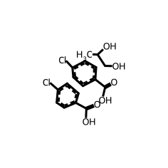 CC(O)CO.O=C(O)c1ccc(Cl)cc1.O=C(O)c1ccc(Cl)cc1